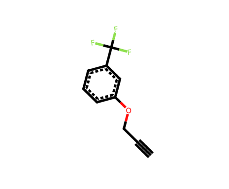 C#CCOc1cccc(C(F)(F)F)c1